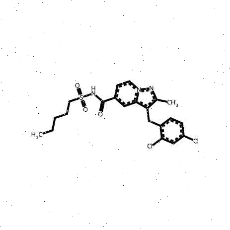 CCCCCS(=O)(=O)NC(=O)c1ccn2nc(C)c(Cc3ccc(Cl)cc3Cl)c2c1